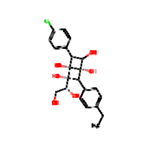 CCc1ccc(C2[C@]3(O)C(O)C(c4ccc(Cl)cc4)[C@]3(O)[C@]2(O)[C@H](O)CO)cc1